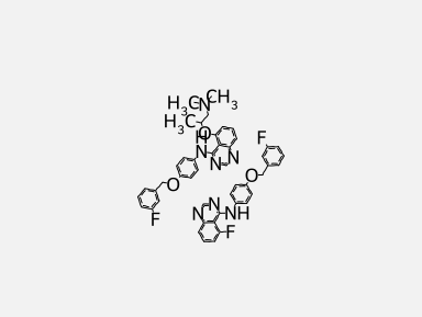 CC(CN(C)C)Oc1cccc2ncnc(Nc3ccc(OCc4cccc(F)c4)cc3)c12.Fc1cccc(COc2ccc(Nc3ncnc4cccc(F)c34)cc2)c1